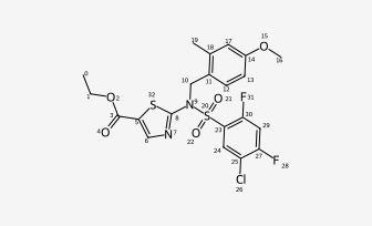 CCOC(=O)c1cnc(N(Cc2ccc(OC)cc2C)S(=O)(=O)c2cc(Cl)c(F)cc2F)s1